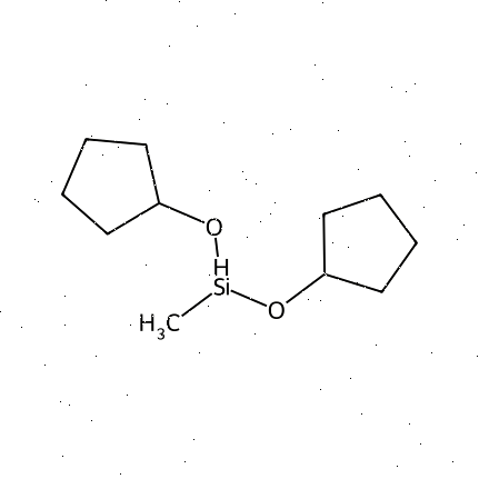 C[SiH](OC1CCCC1)OC1CCCC1